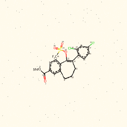 COC(=O)c1ccc2c(c1)CCCC(c1ccc(Cl)cc1Cl)=C2OS(=O)(=O)C(F)(F)F